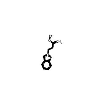 C=C(CCn1cc2ccccc2n1)OCC